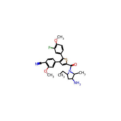 CCC1CC(N)C(C)N1C(=O)c1cc(-c2ccc(C#N)c(OC)c2)c(-c2ccc(OC)c(F)c2)s1